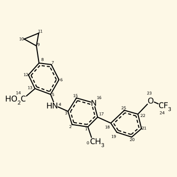 Cc1cc(Nc2ccc(C3CC3)cc2C(=O)O)cnc1-c1cccc(OC(F)(F)F)c1